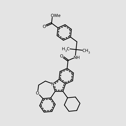 COC(=O)c1ccc(CC(C)(C)NC(=O)c2ccc3c(C4CCCCC4)c4n(c3c2)CCOc2ccccc2-4)cc1